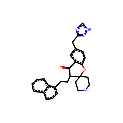 O=C1c2cc(Cc3nc[nH]n3)ccc2OC2(CCNCC2)C1CCc1cccc2ccccc12